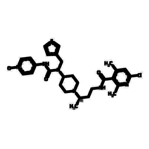 Cc1cc(Cl)nc(C)c1C(=O)NCC[C@@H](C)N1CCC(N(Cc2ccsc2)C(=O)Nc2cc[n+]([O-])cc2)CC1